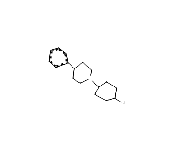 NC1CCC(N2CCC(c3ccccc3)CC2)CC1